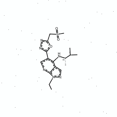 CCn1ncc2c(N[C@@H](C)C(C)C)c(-c3nnc(CS(C)(=O)=O)o3)cnc21